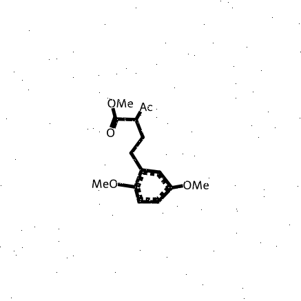 COC(=O)C(CCc1cc(OC)ccc1OC)C(C)=O